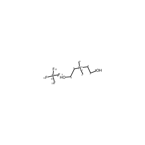 C[N+](C)(CCO)CCO.F[B-](F)(F)F